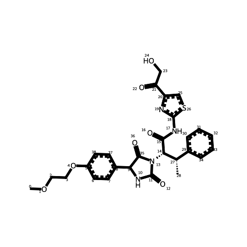 COCCOc1ccc(C2NC(=O)N([C@H](C(=O)Nc3nc(C(=O)CO)cs3)[C@@H](C)c3ccccc3)C2=O)cc1